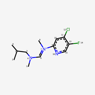 CC(C)CN(C)C=[N+](C)c1cc(Cl)c(F)cn1